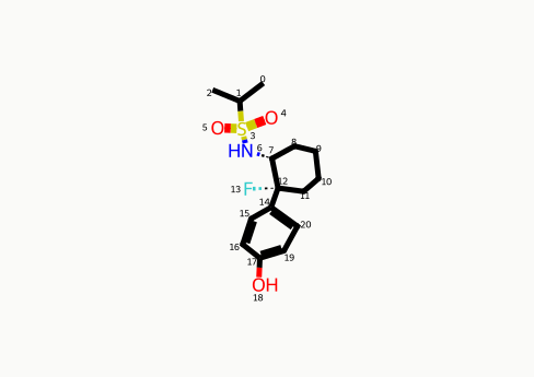 CC(C)S(=O)(=O)N[C@@H]1CCCC[C@@]1(F)c1ccc(O)cc1